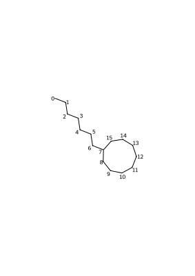 CCCCCCCC1CCCCCCCC1